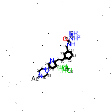 CC(=O)N1CCN(c2ccc(CCc3cccc(CNC(=O)NN)c3)nc2)CC1.Cl.Cl.Cl